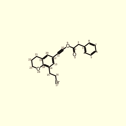 O=C(Cc1ccccc1)OC#Cc1cc(CCBr)c2c(c1)CCCO2